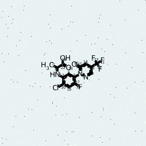 CC(Nc1cc(-n2ncc(C(F)(F)F)cc2=O)c(F)cc1Cl)C(=O)O